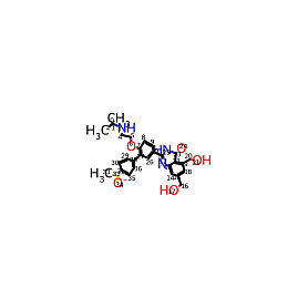 CC(C)NCCOc1ccc(-c2nc3cc(CO)cc(CO)c3c(=O)[nH]2)cc1-c1ccc([S+](C)[O-])cc1